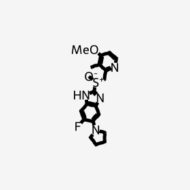 COc1ccnc(C[S+]([O-])c2nc3cc(N4CCCC4)c(F)cc3[nH]2)c1C